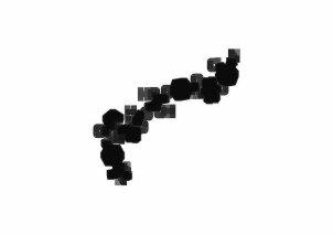 Cc1ncsc1-c1ccc(CNC(=O)[C@@H]2CCCN2C(=O)C(NC(=O)COC[C@H](O)[C@@H](O)COc2ccc(C(=O)N[C@H]3C(C)(C)[C@H](Oc4ccc(C#N)c(Cl)c4)C3(C)C)cc2)C(C)(C)C)cc1